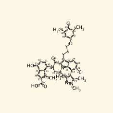 Cc1cc(OCCCc2c3n(c4c(-c5c(C)nn(C)c5C)c(Cl)ccc24)[C@H](C)CN(c2ccc(O)c4cc(C(=O)O)n(C)c24)C3=O)cc(C)c1Cl